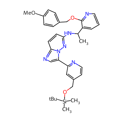 COc1ccc(COc2ncccc2C(C)Nc2ccc3ncc(-c4cc(CO[Si](C)(C)C(C)(C)C)ccn4)n3n2)cc1